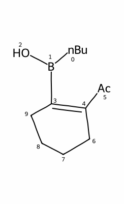 CCCCB(O)C1=C(C(C)=O)CCCC1